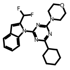 FC(F)c1cc2ccccc2n1-c1nc(C2CCCCC2)nc(N2CCOCC2)n1